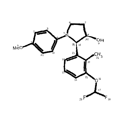 COc1ccc(N2CC[C@@H](O)[C@H]2c2cccc(OC(F)F)c2C)cc1